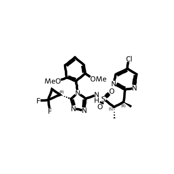 COc1cccc(OC)c1-n1c(NS(=O)(=O)[C@@H](C)[C@H](C)c2ncc(Cl)cn2)nnc1[C@H]1CC1(F)F